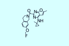 Cc1cc2c(NC3(C)CC3)nc(C(=O)N3CCc4ccc(OCF)cc4C3)nc2o1